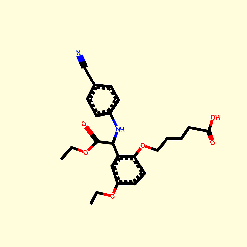 CCOC(=O)C(Nc1ccc(C#N)cc1)c1cc(OCC)ccc1OCCCCC(=O)O